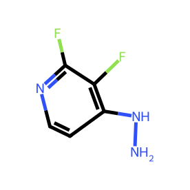 NNc1ccnc(F)c1F